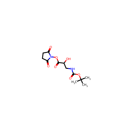 CC(C)(C)OC(=O)NCC(O)C(=O)ON1C(=O)CCC1=O